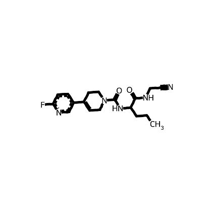 CCCC(NC(=O)N1CC=C(c2ccc(F)nc2)CC1)C(=O)NCC#N